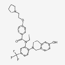 CCN(C(=O)c1ccc(OCCN2CCCC2)cc1)c1cc(C(F)(F)F)ccc1N1CCc2cc(O)ccc2C1